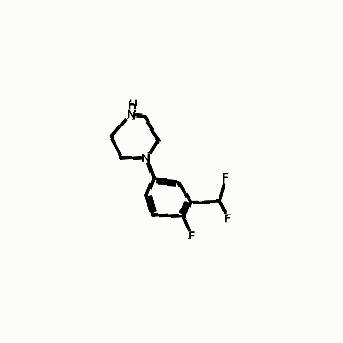 Fc1ccc(N2CCNCC2)cc1C(F)F